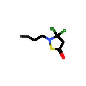 CCCCCCCCN1SC(=O)CC1(Cl)Cl